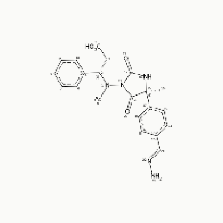 CC(=O)N([C@@H](CC(=O)O)c1ccccc1)N1C(=O)N[C@@](C)(c2ccc(C=NN)cc2)C1=O